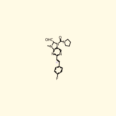 CN1c2nc(/C=C/c3ccc(F)cc3)ncc2N(C(=O)N2CCCC2)C1C=O